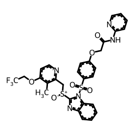 Cc1c(OCC(F)(F)F)ccnc1C[S+]([O-])c1nc2ccccc2n1S(=O)(=O)c1ccc(OCC(=O)Nc2ccccn2)cc1